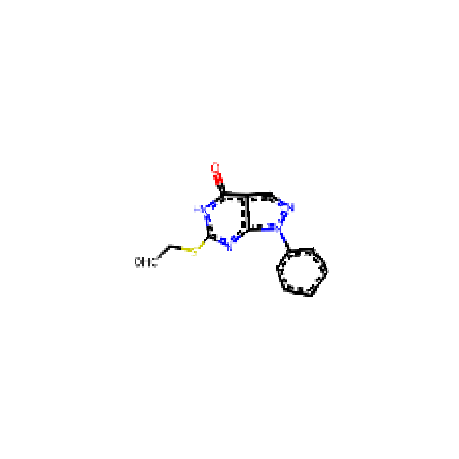 O=CCSc1nc2c(cnn2-c2ccccc2)c(=O)[nH]1